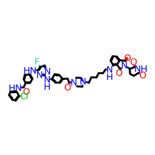 O=C1CCC(N2C(=O)c3cccc(NCCCCCCN4CCN(C(=O)Cc5ccc(Nc6ncc(F)c(Nc7ccc(C(=O)Nc8ccccc8Cl)cc7)n6)cc5)CC4)c3C2=O)C(=O)N1